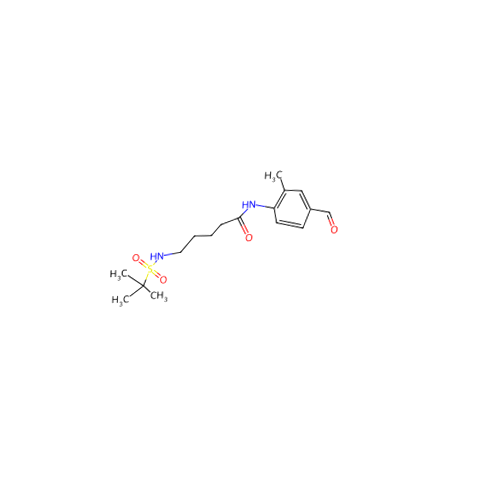 Cc1cc(C=O)ccc1NC(=O)CCCCNS(=O)(=O)C(C)(C)C